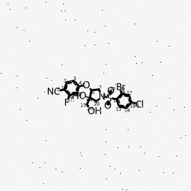 N#Cc1ccc(OC2CN(S(=O)(=O)c3ccc(Cl)cc3Br)C[C@@]2(O)CO)cc1F